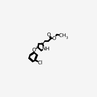 CCOC(=O)CC[C@@H]1C[C@H](Oc2cccc(Cl)c2)CN1